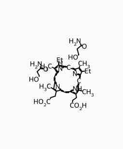 CCC1=C(C)c2cc3[nH]c(cc4nc(cc5[nH]c(cc1n2)c(C)c5CCC(=O)O)C(CCC(=O)O)=C4C)c(C)c3CC.NC(=O)CCO.NC(=O)CCO